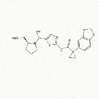 COC[C@@H]1CCCN1C(c1cnc(NC(=O)C2(c3ccc4c(c3)OCO4)CC2)s1)C(C)(C)C